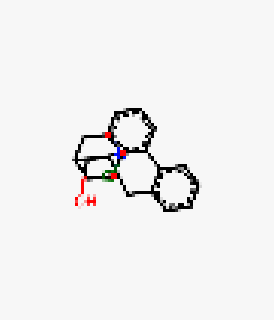 OC1C2CCN(CC2)C1Cc1ccccc1-c1ccccc1Cl